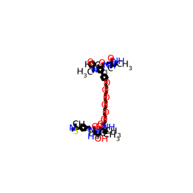 CCN(c1cc(-c2ccc(OCCOCCOCCOCCOCCOCC(=O)N[C@H](C(=O)N3C[C@H](O)C[C@H]3C(=O)NCc3ccc(-c4scnc4C)cc3)C(C)(C)C)cc2)cc(C(=O)NCc2c(C)cc(C)[nH]c2=O)c1C)C1CCOCC1